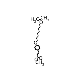 C=C(C)OCCCCCCCCOc1ccc(C=CC(=O)OC)cc1